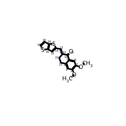 COc1cc2c(cc1OC)C(=O)/C(=C/c1cc3sccc3s1)CC2